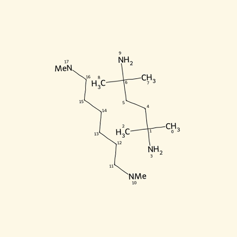 CC(C)(N)CCC(C)(C)N.CNCCCCCCNC